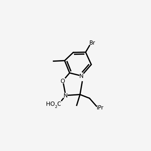 Cc1cc(Br)cnc1ON(C(=O)O)C(C)(C)CC(C)C